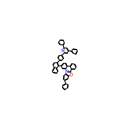 c1ccc(-c2cc(-c3ccccc3)nc(-c3ccc(-c4ccc5ccccc5c4-c4ccc(-c5ccccc5-c5nc6ccc(-c7ccccc7)cc6o5)cc4)cc3)c2)cc1